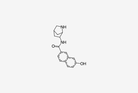 O=C(NC1CC2CNC1C2)c1ccc2ccc(O)cc2c1